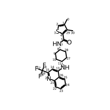 Cc1csc(C(=O)N[C@H]2CC[C@@H](Nc3cc(C(F)(F)F)nc4ccccc34)CC2)c1C